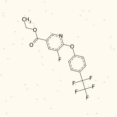 CCOC(=O)c1cnc(Oc2ccc(C(F)(F)C(F)(F)F)cc2)c(F)c1